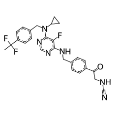 CC(F)(F)c1ccc(CN(c2ncnc(NCc3ccc(C(=O)CNC#N)cc3)c2F)C2CC2)cc1